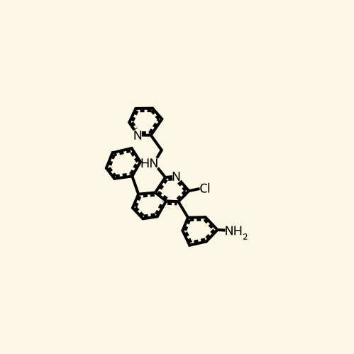 Nc1cccc(-c2c(Cl)nc(NCc3ccccn3)c3c(-c4ccccc4)cccc23)c1